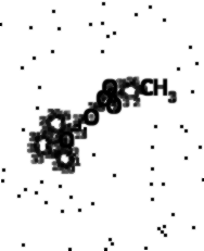 Cc1ccc(S(=O)(=O)OCCOCCCOC(c2ccccc2)(c2ccccc2)c2ccccc2)cc1